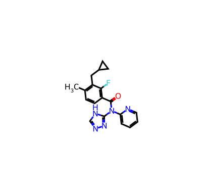 Cc1ccc(C(=O)N(c2ccccn2)c2nnc[nH]2)c(F)c1CC1CC1